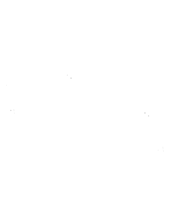 CC(C)Oc1ccc(-c2ncc(-c3cccc4c3CCC43CCN(C(=O)CO)C3)s2)cc1C#N